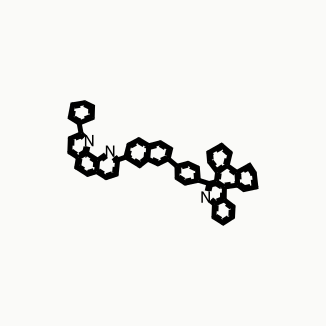 c1ccc(-c2ccc3ccc4ccc(-c5ccc6ccc(-c7ccc(-c8nc9ccccc9c9c%10ccccc%10c%10ccccc%10c89)cc7)cc6c5)nc4c3n2)cc1